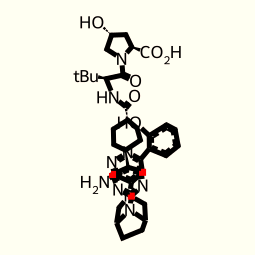 CC(C)(C)[C@H](NC(=O)[C@H]1CC[C@H](c2cnc(N3C4CCC3CN(c3cc(-c5ccccc5O)nnc3N)C4)nc2)CC1)C(=O)N1C[C@H](O)C[C@H]1C(=O)O